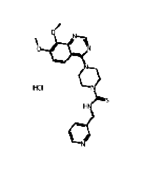 COc1ccc2c(N3CCN(C(=S)NCc4cccnc4)CC3)ncnc2c1OC.Cl